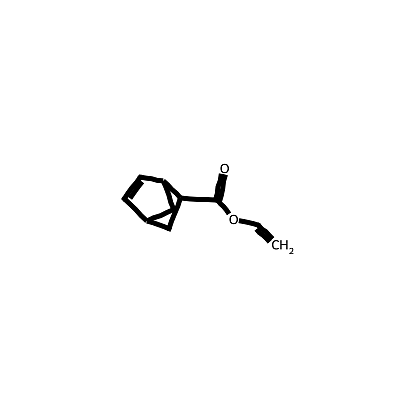 C=COC(=O)C1CC2C=CC1C2